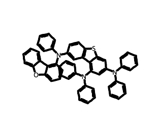 c1ccc(N(c2ccccc2)c2cc(N(c3ccccc3)c3ccccc3)c3c(c2)sc2ccc(N(c4ccccc4)c4cccc5oc6ccccc6c45)cc23)cc1